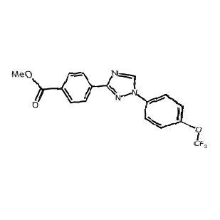 COC(=O)c1ccc(-c2ncn(-c3ccc(OC(F)(F)F)cc3)n2)cc1